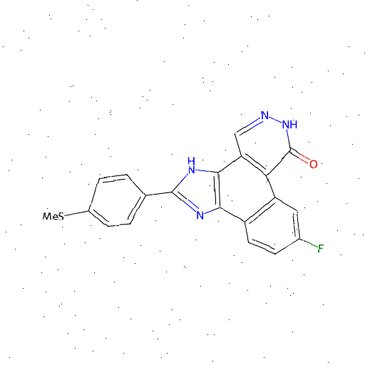 CSc1ccc(-c2nc3c4ccc(F)cc4c4c(=O)[nH]ncc4c3[nH]2)cc1